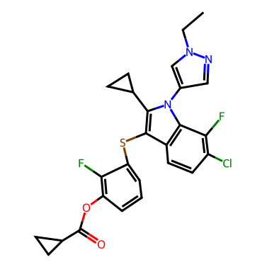 CCn1cc(-n2c(C3CC3)c(Sc3cccc(OC(=O)C4CC4)c3F)c3ccc(Cl)c(F)c32)cn1